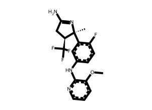 COc1cccnc1Nc1ccc(F)c([C@]2(C)N=C(N)C[C@@H]2C(F)(F)F)c1